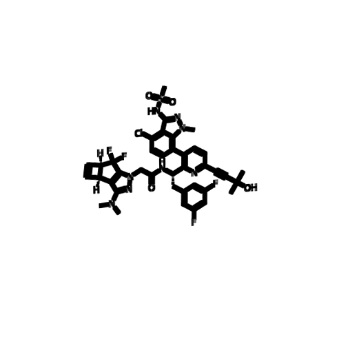 CN(C)c1nn(CC(=O)N[C@@H](Cc2cc(F)cc(F)c2)c2nc(C#CC(C)(C)O)ccc2-c2ccc(Cl)c3c(NS(C)(=O)=O)nn(C)c23)c2c1[C@H]1C#C[C@H]1C2(F)F